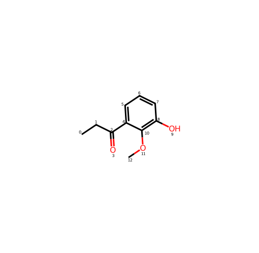 CCC(=O)c1cccc(O)c1OC